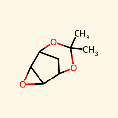 CC1(C)OC2CC(O1)C1OC21